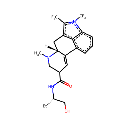 CC[C@@H](CO)NC(=O)C1C=C2c3cccc4c3c(c(C(F)(F)F)n4C(F)(F)F)C[C@H]2N(C)C1